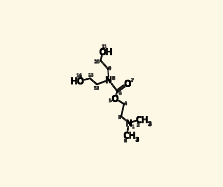 CN(C)CCOC(=O)N(CCO)CCO